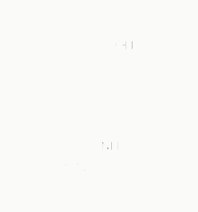 CCCCCC(N)CCCCO